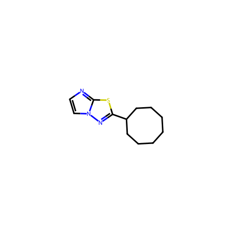 c1cn2nc(C3CCCCCCC3)sc2n1